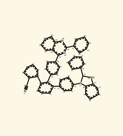 N#Cc1ccccc1-c1cccc(-c2ccc(N3c4ccccc4NC3c3ccccc3)cc2)c1-c1ccc(-c2nc(-c3ccccc3)nc3ccccc23)cc1